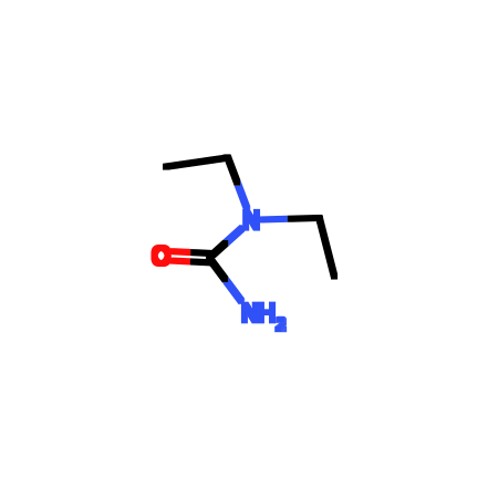 CCN(CC)C(N)=O